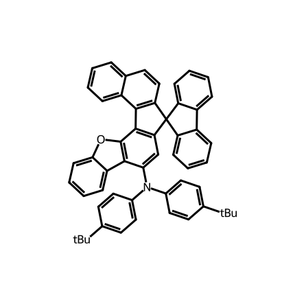 CC(C)(C)c1ccc(N(c2ccc(C(C)(C)C)cc2)c2cc3c(c4oc5ccccc5c24)-c2c(ccc4ccccc24)C32c3ccccc3-c3ccccc32)cc1